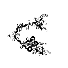 CC[C@H](C)[C@@H]([C@@H](CC(=O)N1CCC[C@H]1[C@H](OC)[C@@H](C)C(=O)N[C@@H](Cc1ccccc1)C(=O)NCCCOC(=O)C(C)NC(=O)CC[C@H](NC(=O)CCNC(=O)OCC(NC(C)(C)C(=O)CN)C(=O)NC(C)(C)COC(C)(C)C)C(=O)O)OC)N(C)C(=O)C(NC(=O)C(C(C)C)N(C)C)C(C)C